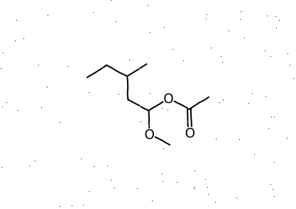 CCC(C)CC(OC)OC(C)=O